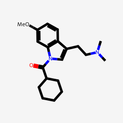 COc1ccc2c(CCN(C)C)cn(C(=O)C3CCCCC3)c2c1